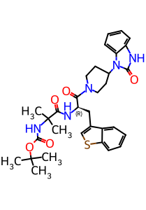 CC(C)(C)OC(=O)NC(C)(C)C(=O)N[C@H](Cc1csc2ccccc12)C(=O)N1CCC(n2c(=O)[nH]c3ccccc32)CC1